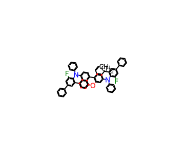 C=C(/C=C\C=C/C)c1cc(-c2ccccc2)cc(F)c1N(c1ccccc1)c1ccc2c(c1)Oc1cccc3c(N(c4ccccc4)c4c(F)cc(-c5ccccc5)cc4-c4ccccc4)ccc-2c13